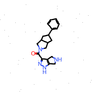 O=C(c1n[nH]c2c1CNC2)N1CC2CC(c3ccccc3)CC2C1